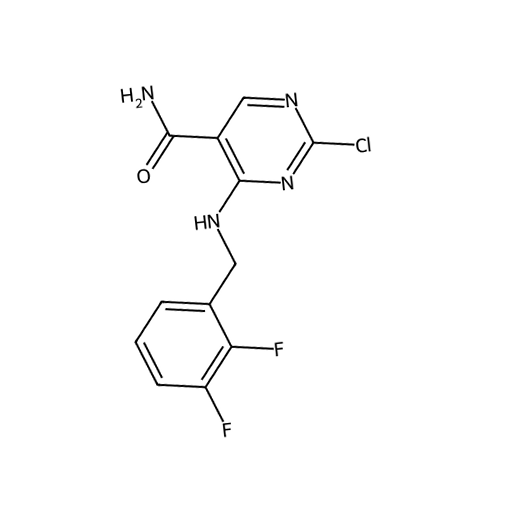 NC(=O)c1cnc(Cl)nc1NCc1cccc(F)c1F